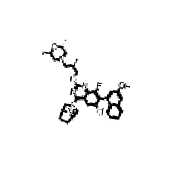 C[C@@H](COc1nc(N2CC3CCC(C2)N3)c2cc(Cl)c(-c3cc(O)cc4ccccc34)c(F)c2n1)CN1C[C@@H](C)O[C@H](C)C1